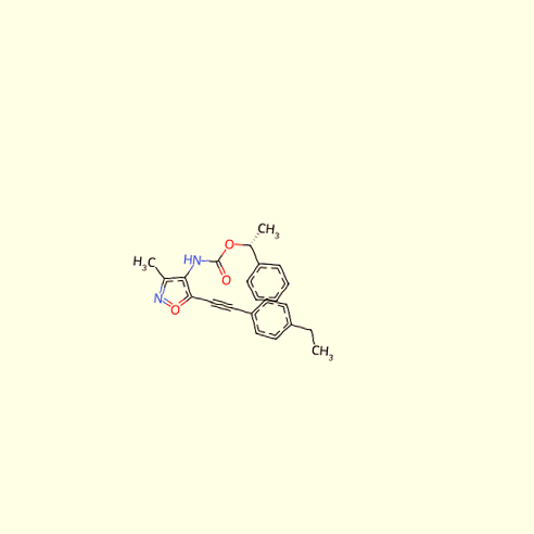 CCc1ccc(C#Cc2onc(C)c2NC(=O)O[C@H](C)c2ccccc2)cc1